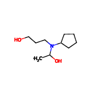 [CH2]C(O)N(CCCO)C1CCCC1